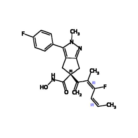 C=C(/C(C)=C(F)\C=C/C)[C@]1(C(=O)NO)Cc2nn(C)c(-c3ccc(F)cc3)c2C1